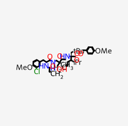 C=CCC(C(C)C)[C@](CC(C)(C)C)(NCC(=O)C(C)(CO)CNC(=O)C(Cc1ccc(OC)c(Cl)c1)NC(=O)C=C)C(=O)OOCc1ccc(OC)cc1